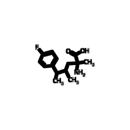 CC(CC(C)(N)C(=O)O)C(C)c1ccc(F)cc1